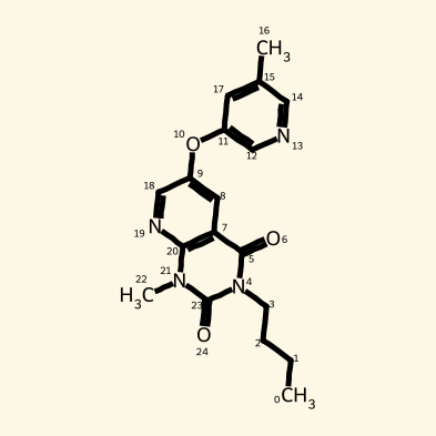 CCCCn1c(=O)c2cc(Oc3cncc(C)c3)cnc2n(C)c1=O